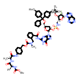 COc1ccc(C(OC[C@@H]2C[C@@H](OS(=O)(=O)NC[C@H]3O[C@@H](n4cnc5cncnc54)[C@H](F)[C@@H]3O[Si](C)(C)C(C)(C)C)[C@H](n3cnc4c(=O)[nH]c(NC(=O)c5ccccc5CN(C)C(=O)OCc5ccc(NC(=O)[C@H](C)NC(=O)[C@@H](NC(=O)OC(C)(C)C)C(C)C)cc5)nc43)O2)(c2ccccc2)c2ccc(OC)cc2)cc1